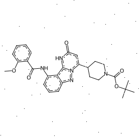 COc1ccccc1C(=O)Nc1cccc2nn3c(C4CCN(C(=O)OC(C)(C)C)CC4)cc(=O)[nH]c3c12